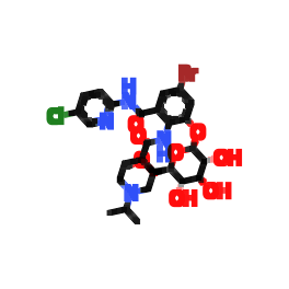 COC[C@H]1O[C@@H](Oc2cc(Br)cc(C(=O)Nc3ccc(Cl)cn3)c2NC(=O)C2CCN(C(C)C)CC2)[C@H](O)[C@@H](O)[C@@H]1O